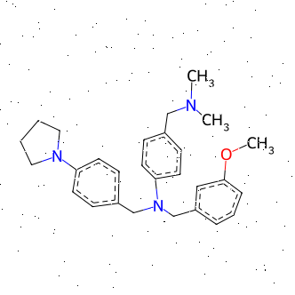 COc1cccc(CN(Cc2ccc(N3CCCC3)cc2)c2ccc(CN(C)C)cc2)c1